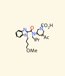 COCCCCn1c(C(=O)N(CC(C)C)[C@H]2C[C@@H](C(C)=O)CN(C(=O)O)C2)nc2ccccc21